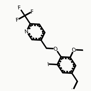 [CH2]Cc1cc(I)c(OCc2ccc(C(F)(F)F)nc2)c(OC)c1